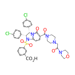 O=C(O)c1cccc(S(=O)(=O)N2c3ccc(C(=O)N4CCN(CC(=O)N5CCOCC5)CC4)c(=O)n3[C@@H](c3ccc(Cl)cc3)[C@H]2c2ccc(Cl)cc2)c1